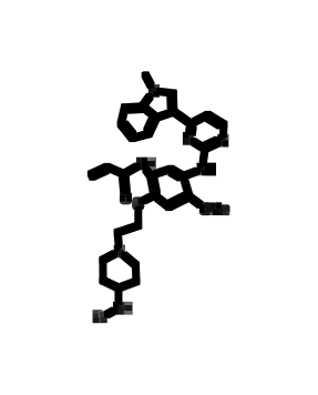 C=CC(=O)Nc1cc(Nc2nccc(-c3cn(C)c4ccccc34)n2)c(OC)cc1OCCN1CCC(NCC)CC1